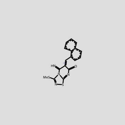 CSC1=NSC2=NC(=O)/C(=C\c3cccc4ccccc34)C(=N)N12